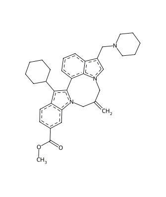 C=C1Cn2cc(CN3CCCCC3)c3cccc(c32)-c2c(C3CCCCC3)c3ccc(C(=O)OC)cc3n2C1